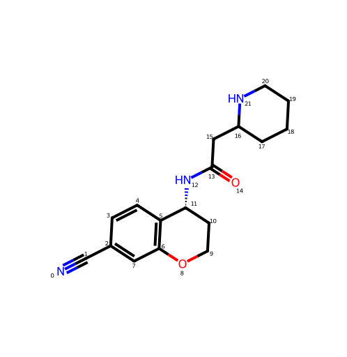 N#Cc1ccc2c(c1)OCC[C@H]2NC(=O)CC1CCCCN1